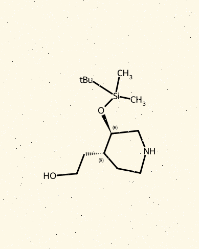 CC(C)(C)[Si](C)(C)O[C@H]1CNCC[C@@H]1CCO